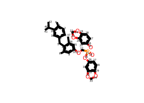 Cc1ccc(Cc2c(C)cc(OCP(=O)(Oc3ccc4c(c3)OCO4)Oc3ccc4c(c3)OCO4)cc2C)cc1C(C)C